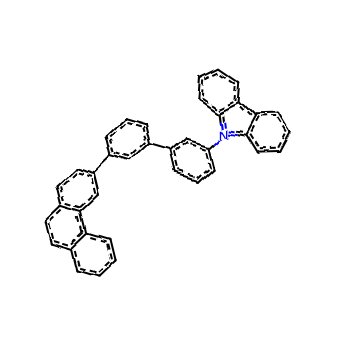 c1cc(-c2cccc(-n3c4ccccc4c4ccccc43)c2)cc(-c2ccc3ccc4ccccc4c3c2)c1